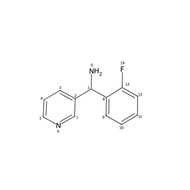 NC(c1cccnc1)c1ccccc1F